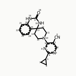 N#Cc1cnc(C2CC2)nc1N1CCC2(CC1)NC(=O)Nc1ccccc12